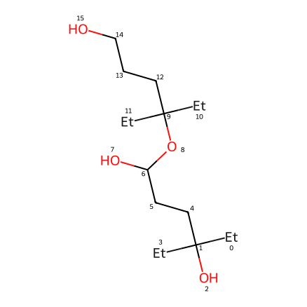 CCC(O)(CC)CCC(O)OC(CC)(CC)CCCO